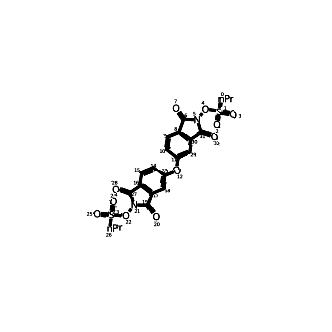 CCCS(=O)(=O)ON1C(=O)c2ccc(Oc3ccc4c(c3)C(=O)N(OS(=O)(=O)CCC)C4=O)cc2C1=O